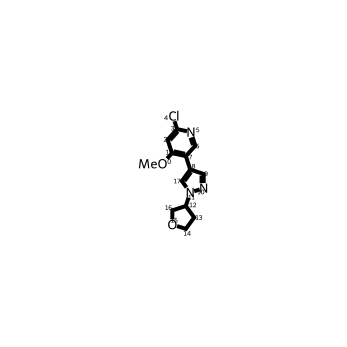 COc1cc(Cl)ncc1-c1cnn(C2CCOC2)c1